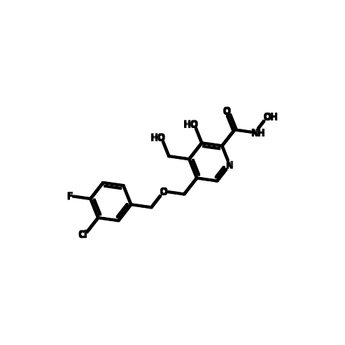 O=C(NO)c1ncc(COCc2ccc(F)c(Cl)c2)c(CO)c1O